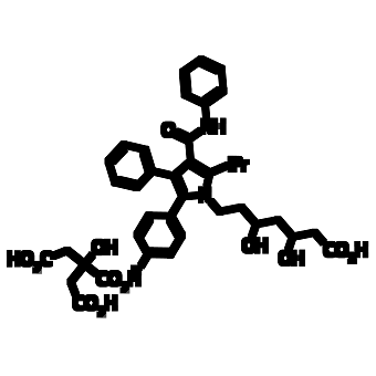 CC(C)c1c(C(=O)Nc2ccccc2)c(-c2ccccc2)c(-c2ccc(F)cc2)n1CCC(O)CC(O)CC(=O)O.O=C(O)CC(O)(CC(=O)O)C(=O)O